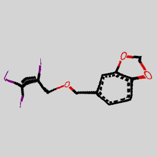 IC(I)=C(I)COCc1ccc2c(c1)OCO2